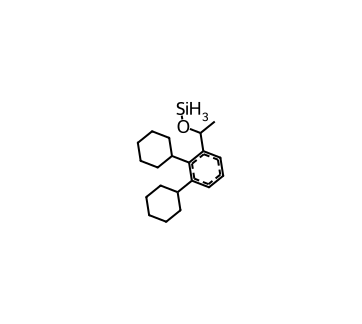 CC(O[SiH3])c1cccc(C2CCCCC2)c1C1CCCCC1